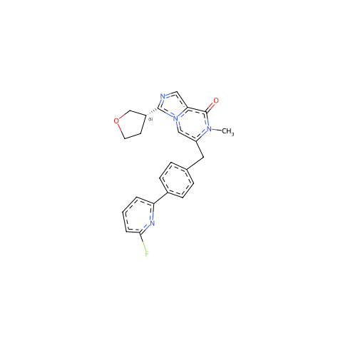 Cn1c(Cc2ccc(-c3cccc(F)n3)cc2)cn2c([C@@H]3CCOC3)ncc2c1=O